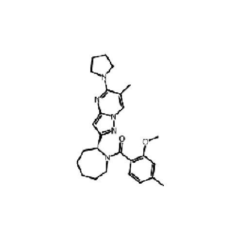 COc1cc(C)ccc1C(=O)N1CCCCC[C@H]1c1cc2nc(N3CCCC3)c(C)cn2n1